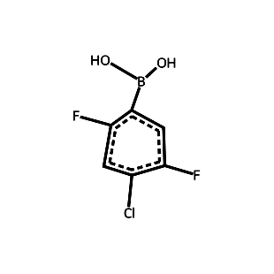 OB(O)c1cc(F)c(Cl)cc1F